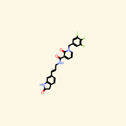 O=C1Cc2ccc(/C=C/CNC(=O)c3cccn(Cc4cc(F)c(F)c(F)c4)c3=O)cc2N1